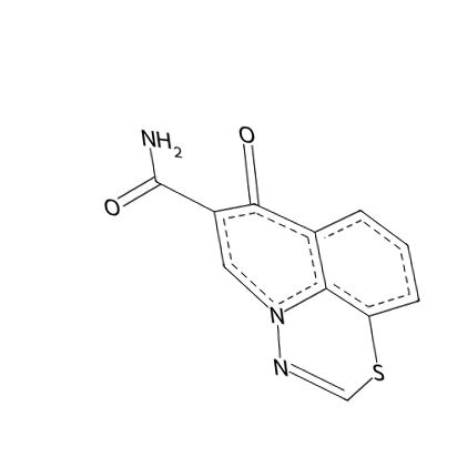 NC(=O)c1cn2c3c(cccc3c1=O)SC=N2